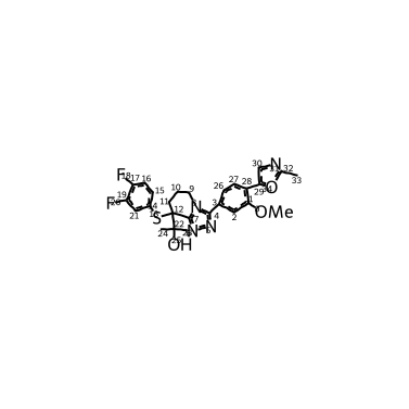 COc1cc(-c2nnc3n2CCCC3(Sc2ccc(F)c(F)c2)C(C)(C)O)ccc1-c1cnc(C)o1